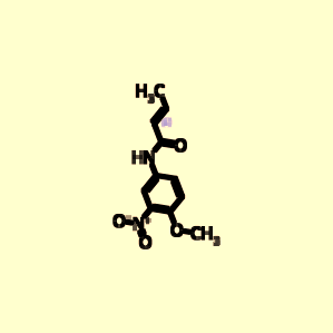 C/C=C/C(=O)Nc1ccc(OC)c([N+](=O)[O-])c1